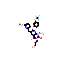 Cc1cccc(CC2Cc3c(n(C)c(=O)n(CCCO)c3=O)N=C2Oc2cccc(OC(F)(F)F)c2)n1